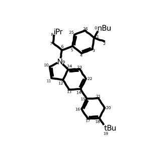 CCCCC1(C)C=CC(C(CC(C)C)N2C=CC3CC(C4=CC=C(C(C)(C)C)CC4)=CC=C32)=CC1